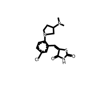 CN(C)C1CCN(c2ccc(Cl)cc2C=C2SC(=O)NC2=O)C1